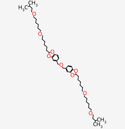 CC(C)CCOCCCCCCOCCCCCCC1Oc2ccc(COCc3ccc4c(c3)OC(CCCCCCOCCCCCCOCCC(C)C)O4)cc2O1